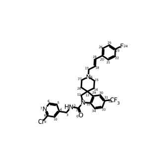 O=C(NCc1ccnc(Cl)c1)N1CC2(CCN(CC=Cc3ccc(F)cc3)CC2)c2cc(C(F)(F)F)ccc21